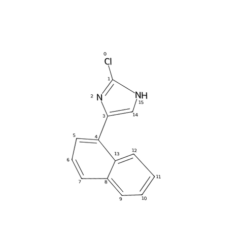 Clc1nc(-c2cccc3ccccc23)c[nH]1